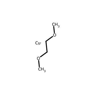 COCCOC.[Cu]